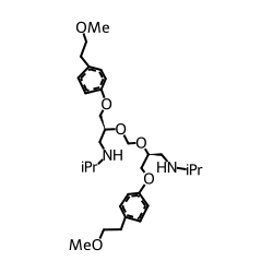 COCCc1ccc(OC[C@H](CNC(C)C)OCO[C@@H](CNC(C)C)COc2ccc(CCOC)cc2)cc1